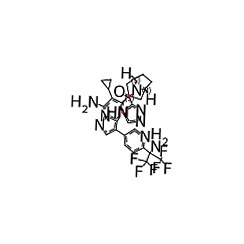 Nc1c(C2CC2)c([C@@H]2C[C@H]3CC[C@@H](C2)N3C(=O)c2nnc[nH]2)nc2c(-c3ccc(C(N)(C(F)(F)F)C(F)(F)F)nc3)cnn12